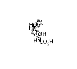 O=C(O)NCCC(O)c1cccc(NCC2(O)CCCCC2)c1